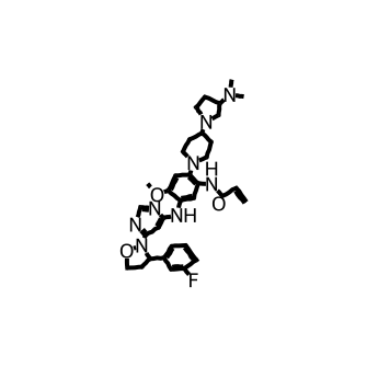 C=CC(=O)Nc1cc(Nc2cc(N3OCCC3c3cccc(F)c3)ncn2)c(OC)cc1N1CCC(N2CCC(N(C)C)C2)CC1